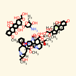 CC[C@]1(O)C[C@H]2CN(CCc3c([nH]c4ccccc34)[C@@](C(=O)OC)(c3cc4c(cc3OC)N(C=O)[C@H]3[C@@](O)(C(=O)OC)[C@H](OC(C)=O)[C@]5(CC)C=CCN6CC[C@]43[C@@H]65)C2)C1.COc1cccc2c1C(=O)c1c(O)c3c(c(O)c1C2=O)C[C@@](O)(C(=O)CO)C[C@@H]3O[C@H]1C[C@H](N)[C@H](O)[C@H](C)O1.C[C@@H]1C[C@H]2[C@@H]3CCC4=CC(=O)C=C[C@]4(C)[C@@]3(F)[C@@H](O)C[C@]2(C)[C@@]1(O)C(=O)CO